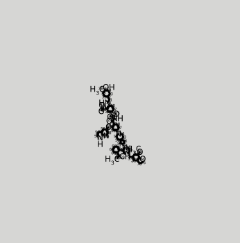 COc1cc(CN2CCN(C3CC4(CCN(c5ccc(C(=O)NS(=O)(=O)c6ccc(NCC7CCC(C)(O)CC7)c([N+](=O)[O-])c6)c(Oc6cnc7[nH]ccc7c6)c5)CC4)C3)[C@H](c3ccccc3C(C)C)C2)cc2c1OCC2